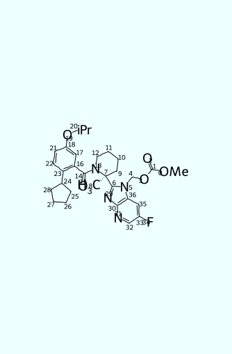 COC(=O)OCn1c([C@]2(C)CCCCN2C(=O)c2cc(OC(C)C)ccc2C2CCCC2)nc2ncc(F)cc21